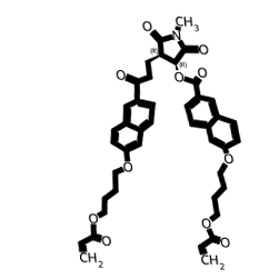 C=CC(=O)OCCCCOc1ccc2cc(C(=O)CC[C@H]3C(=O)N(C)C(=O)[C@@H]3OC(=O)c3ccc4cc(OCCCCOC(=O)C=C)ccc4c3)ccc2c1